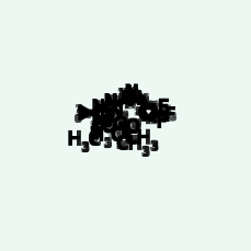 CCCn1c(C2CC2)nc2nc(-c3cnn(Cc4cccc(C(F)(F)F)c4)c3)n(COC(=O)C(C)(C)C)c2c1=O